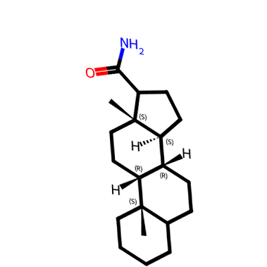 C[C@]12CCCCC1CC[C@@H]1[C@H]2CC[C@]2(C)C(C(N)=O)CC[C@@H]12